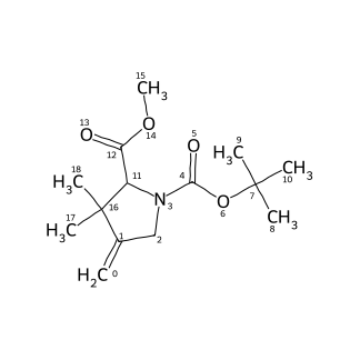 C=C1CN(C(=O)OC(C)(C)C)C(C(=O)OC)C1(C)C